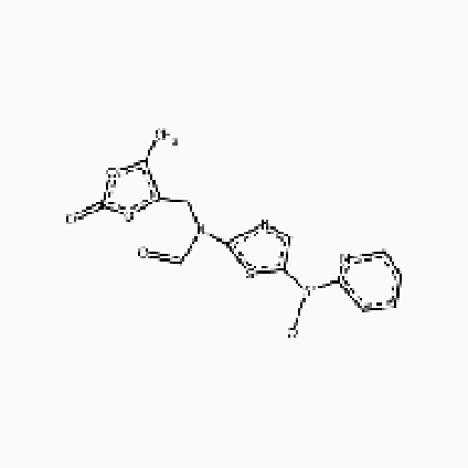 Cc1oc(=O)oc1CN(C=O)c1ncc([S+]([O-])c2ccccn2)s1